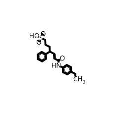 CCc1ccc(NC(=O)C=CC(CCCS(=O)(=O)O)c2ccccc2)cc1